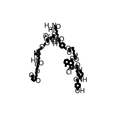 Cc1cccc2c(OC(=O)N(C)CCN(C)C(=O)OCc3ccc(NC(=O)[C@H](CCCNC(N)=O)NC(=O)[C@@H](NC(=O)OCCOCCn4cc(CNC(=O)OCCOCCN5C(=O)C=CC5=O)nn4)C(C)C)cc3)cc3c(c12)[C@H](CCl)CN3C(=O)c1cn2cc(NC(=O)c3ccc(O)cc3)ccc2n1